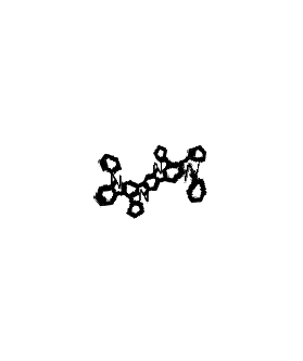 c1ccc(-n2c3ccccc3c3c4c5c(n6c7cc8c9cc%10c(c%11ccccc%11n%10-c%10ccccc%10)c%10c%11c(n(c8cc7c(cc32)c46)c9%10)CCC%11)CCC5)cc1